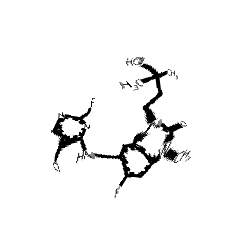 Cn1c(=O)n(CCC(C)(C)O)c2cc(Nc3nc(F)ncc3Cl)c(F)cc21